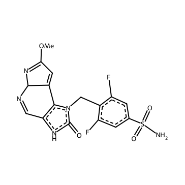 COC1=NC2N=Cc3[nH]c(=O)n(Cc4c(F)cc(S(N)(=O)=O)cc4F)c3C2=C1